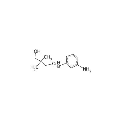 CC(C)(CO)COBc1cccc(N)c1